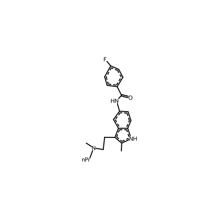 CCCN(C)CCc1c(C)[nH]c2ccc(NC(=O)c3ccc(F)cc3)cc12